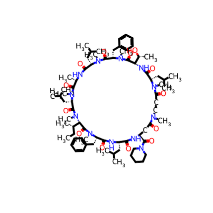 CC[C@H](C)[C@H]1C(=O)N(C)[C@@H](Cc2ccccc2)C(=O)N[C@@H](CC(C)C)C(=O)N[C@H](C(=O)N2CCCCC2)CC(=O)N(C)CCC(=O)N(C)[C@@H](CC(C)C)C(=O)N[C@@H]([C@@H](C)O)C(=O)N(C)[C@@H](Cc2ccccc2)C(=O)N(C)[C@@H](CC(C)C)C(=O)N[C@@H](C)C(=O)N(C)[C@@H](CC(C)C)C(=O)N1C